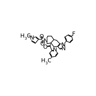 Cc1ccnc(C(=O)[C@]23Cc4cnn(-c5ccc(F)cc5)c4CC2CCN(S(=O)(=O)c2ccn(C)c2)C3)c1